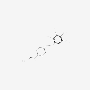 CCCC1CCC(COc2cc(F)c(F)c(F)c2F)CC1